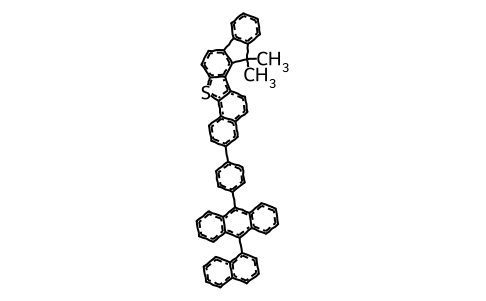 CC1(C)c2ccccc2-c2ccc3sc4c5ccc(-c6ccc(-c7c8ccccc8c(-c8cccc9ccccc89)c8ccccc78)cc6)cc5ccc4c3c21